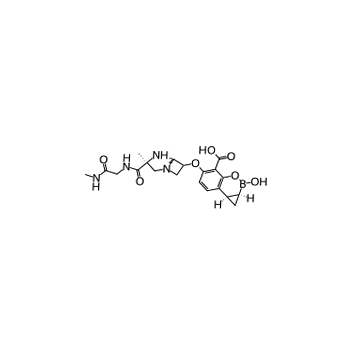 CNC(=O)CNC(=O)[C@@](C)(N)CN1CC(Oc2ccc3c(c2C(=O)O)OB(O)[C@H]2C[C@@H]32)C1